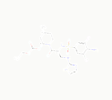 CCOC(=O)O[C@@H]1C[C@H](C)CCN1C(=O)[C@H](CNc1ncc[nH]1)NS(=O)(=O)c1cc(Cl)c(N)c(Cl)c1